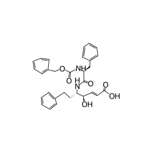 O=C(O)/C=C/[C@@H](O)[C@H](CCc1ccccc1)NC(=O)[C@H](Cc1ccccc1)NC(=O)OCc1ccccc1